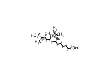 CCCCCCCCCCCCCCCCC[C@H](C[C@@H](O)[C@@H](C)C(=O)O)O[Si](C)(C)C(C)(C)C